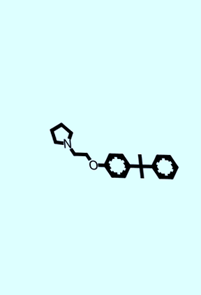 CC(C)(c1ccccc1)c1ccc(OCCN2CCCC2)cc1